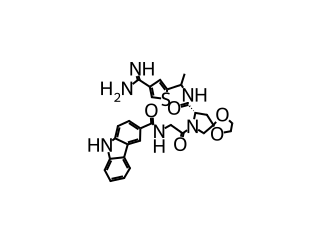 CC(NC(=O)[C@@H]1CC2(CN1C(=O)CNC(=O)c1ccc3[nH]c4ccccc4c3c1)OCCO2)c1cc(C(=N)N)cs1